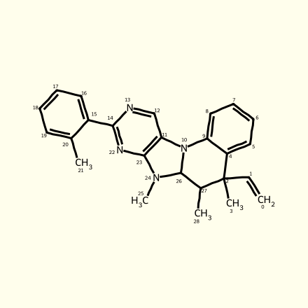 C=CC1(C)c2ccccc2N2c3cnc(-c4ccccc4C)nc3N(C)C2C1C